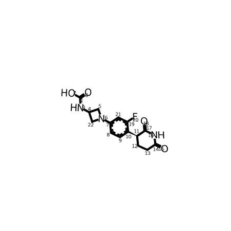 O=C(O)NC1CN(c2ccc([C@@H]3CCC(=O)NC3=O)c(F)c2)C1